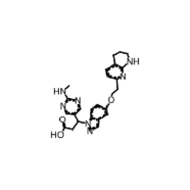 CNc1ncc(C(CC(=O)O)n2ncc3cc(OCCc4ccc5c(n4)NCCC5)ccc32)cn1